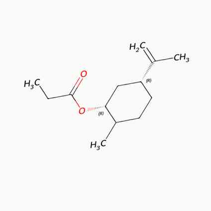 C=C(C)[C@@H]1CCC(C)[C@H](OC(=O)CC)C1